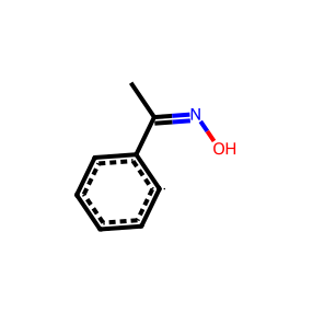 C/C(=N/O)c1[c]cccc1